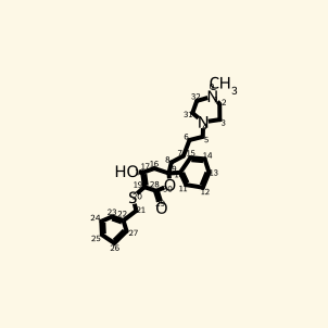 CN1CCN(CCCCC2(c3ccccc3)CC(O)=C(SCc3ccccc3)C(=O)O2)CC1